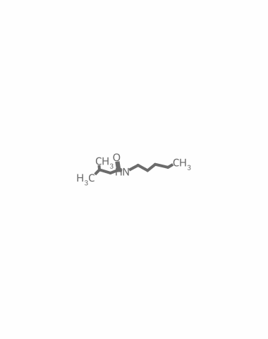 CCCCCNC(=O)CC(C)C